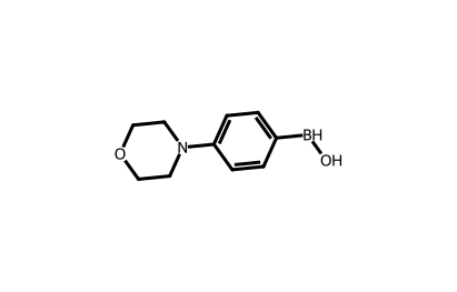 OBc1ccc(N2CCOCC2)cc1